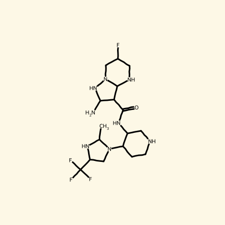 CC1NC(C(F)(F)F)CN1C1CCNCC1NC(=O)C1C(N)NN2CC(F)CNC12